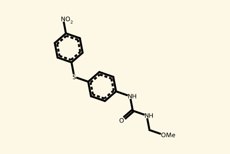 COCNC(=O)Nc1ccc(Sc2ccc([N+](=O)[O-])cc2)cc1